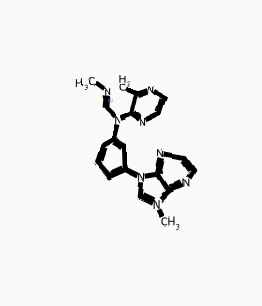 C/N=C/N(c1cccc(-n2c[n+](C)c3nccnc32)c1)c1nccnc1C